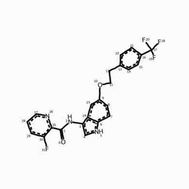 O=C(Nc1c[nH]c2ccc(OCCc3ccc(C(F)(F)F)cc3)cc12)c1ncccc1F